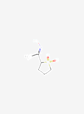 C/C(=N\O)C1CCCS1(=O)=O